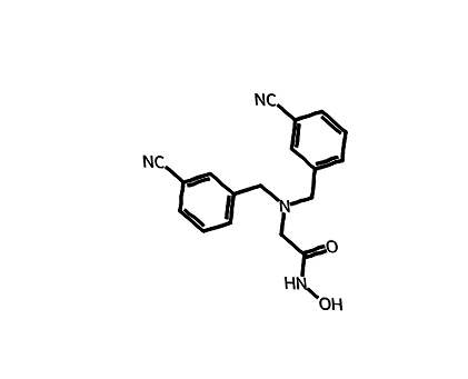 N#Cc1cccc(CN(CC(=O)NO)Cc2cccc(C#N)c2)c1